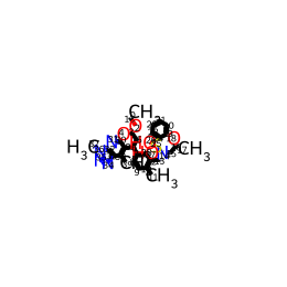 CCOC(=O)CC(c1ccc(C)c(CN2CC(C)Oc3ccccc3S2(O)O)c1)c1cnc2c(nnn2C)c1C